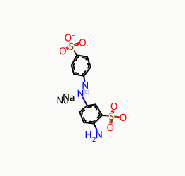 Nc1ccc(/N=N/c2ccc(S(=O)(=O)[O-])cc2)cc1S(=O)(=O)[O-].[Na+].[Na+]